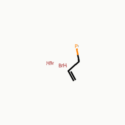 Br.Br.C=CC[P]